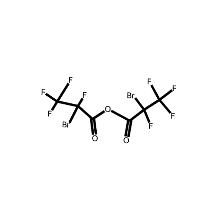 O=C(OC(=O)C(F)(Br)C(F)(F)F)C(F)(Br)C(F)(F)F